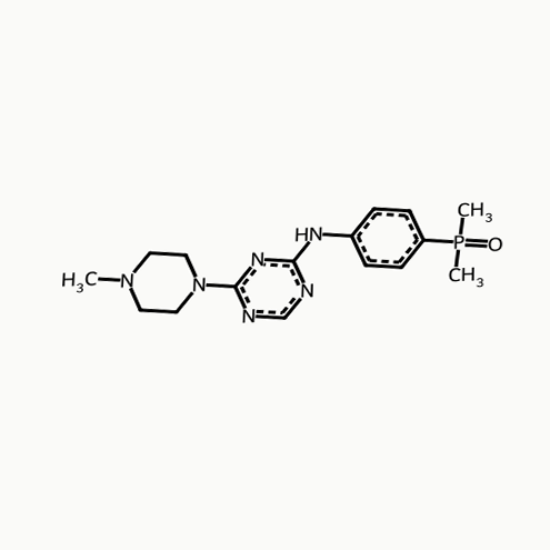 CN1CCN(c2ncnc(Nc3ccc(P(C)(C)=O)cc3)n2)CC1